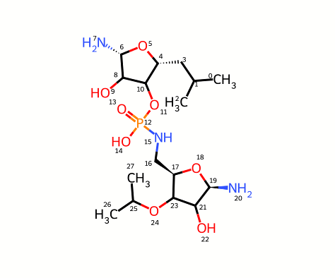 CC(C)C[C@H]1O[C@@H](N)C(O)C1OP(=O)(O)NC[C@H]1O[C@@H](N)C(O)C1OC(C)C